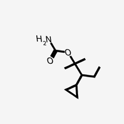 CCC(C1CC1)C(C)(C)OC(N)=O